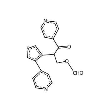 O=COCC(C(=O)c1ccncc1)c1cscc1-c1ccncc1